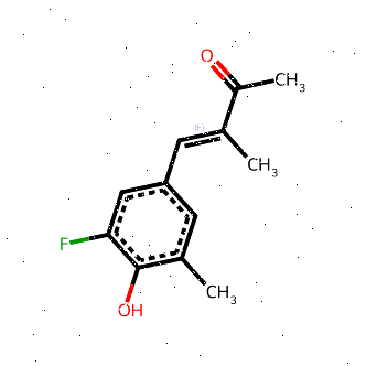 CC(=O)/C(C)=C/c1cc(C)c(O)c(F)c1